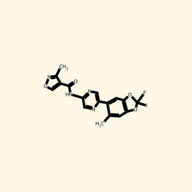 Cc1cc2c(cc1-c1cnc(NC(=O)c3conc3C)cn1)OC(F)(F)O2